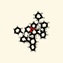 c1ccc(N(c2ccccc2)c2cccc3c4c5ccccc5cc5c6c7c8cccc9c%10cccc(N(c%11ccccc%11)c%11ccccc%11)c%10n(c7ncc6n(c23)c54)c98)cc1